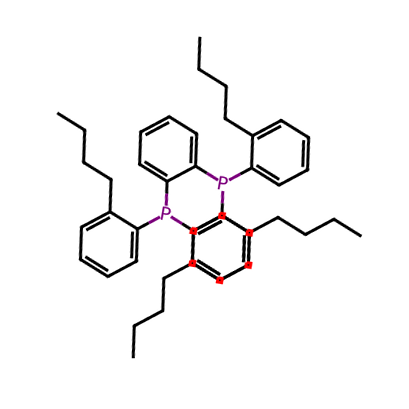 CCCCc1ccccc1P(c1ccccc1CCCC)c1ccccc1P(c1ccccc1CCCC)c1ccccc1CCCC